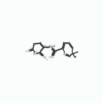 CC1(C)C=CC=C(C(=O)NC2CCC(=O)NC2=O)N=C1